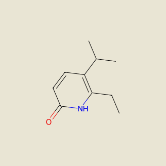 CCc1[nH]c(=O)ccc1C(C)C